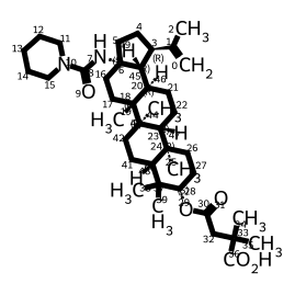 C=C(C)[C@@H]1CC[C@]2(NC(=O)N3CCCCC3)CC[C@]3(C)[C@H](CC[C@@H]4[C@@]5(C)CC[C@H](OC(=O)CC(C)(C)C(=O)O)C(C)(C)[C@@H]5CC[C@]43C)[C@@H]12